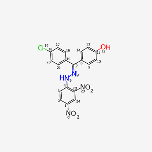 O=[N+]([O-])c1ccc(NN=C(c2ccc(O)cc2)c2ccc(Cl)cc2)c([N+](=O)[O-])c1